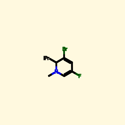 CC(C)C1C(Br)=CC(F)=CN1C